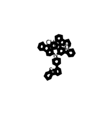 CC1(C)c2ccccc2-c2ccc(N(c3ccc(-c4cccc5c4sc4ccccc45)cc3)c3cc(C4(c5ccccc5)c5ccccc5-c5ccccc54)c4oc5ccccc5c4c3)cc21